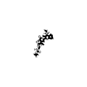 CCC1(OC(=O)CNC(=O)OC(C)(C)C)C(=O)OCc2c1cc1n(c2=O)Cc2c-1nc1ccccc1c2[Si](C)(C)CC